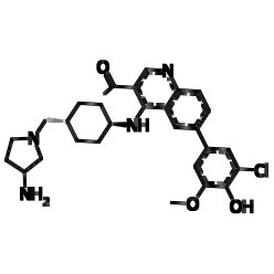 COc1cc(-c2ccc3ncc(C(C)=O)c(N[C@H]4CC[C@H](CN5CCC(N)C5)CC4)c3c2)cc(Cl)c1O